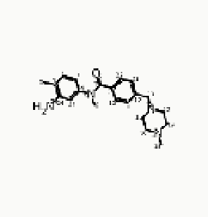 Cc1ccc(N(C)C(=O)c2ccc(CN3CCN(C)CC3)cc2)cc1N